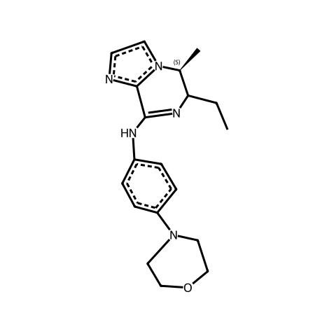 CCC1N=C(Nc2ccc(N3CCOCC3)cc2)c2nccn2[C@H]1C